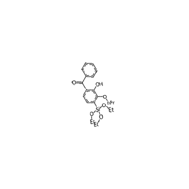 CCCOc1c([Si](OCC)(OCC)OCC)ccc(C(=O)c2ccccc2)c1O